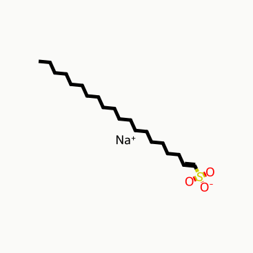 CCCCCCCCCCCCCCCCCCC=CS(=O)(=O)[O-].[Na+]